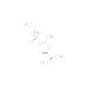 C=C(C)C(=O)OC(C)OP(=O)(O)OCC